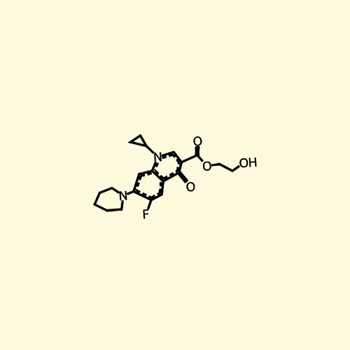 O=C(OCCO)c1cn(C2CC2)c2cc(N3CCCCC3)c(F)cc2c1=O